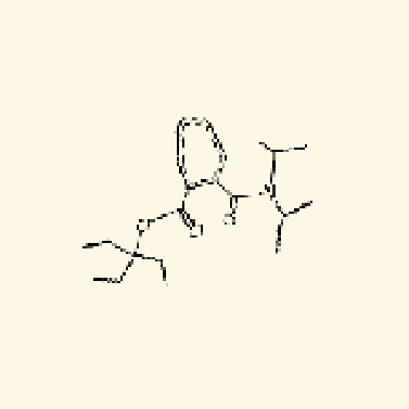 CCC(CC)(CC)OC(=O)c1ccccc1C(=O)N(C(C)C)C(C)C